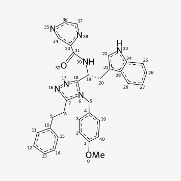 COc1ccc(Cn2c(CCc3ccccc3)nnc2[C@@H](Cc2c[nH]c3ccccc23)NC(=O)c2cnccn2)cc1